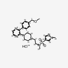 COCc1ccc(-c2nccnc2N2CCN(CCN(C)S(=O)(=O)c3cnn(C)c3)CC2)cc1.Cl